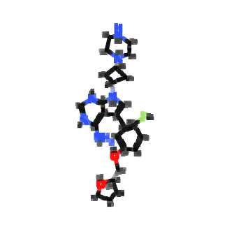 Nc1ncnc2c1c(-c1cc(OC[C@@H]3CCCO3)ccc1F)cn2[C@H]1C[C@@H](N2CCNCC2)C1